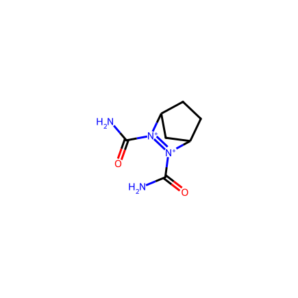 NC(=O)[N+]1=[N+](C(N)=O)C2CCC1C2